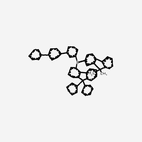 CC1(C)c2ccccc2-c2ccc(N(c3cccc(-c4ccc(-c5ccccc5)cc4)c3)c3cccc4c3-c3ccccc3C4(c3ccccc3)c3ccccc3)cc21